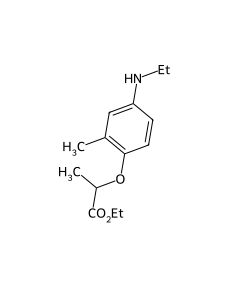 CCNc1ccc(OC(C)C(=O)OCC)c(C)c1